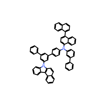 c1ccc(-c2cccc(N(c3ccc(-c4cc(-c5ccccc5)cc(-n5c6ccccc6c6c7ccccc7ccc65)c4)cc3)c3ccc(-c4cccc5ccccc45)c4ccccc34)c2)cc1